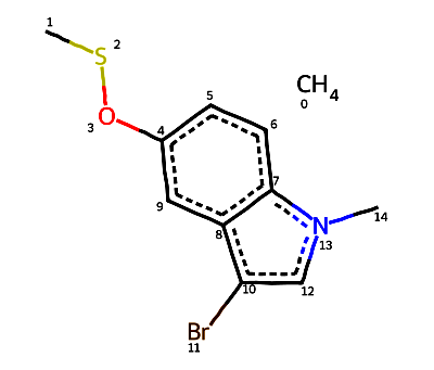 C.CSOc1ccc2c(c1)c(Br)cn2C